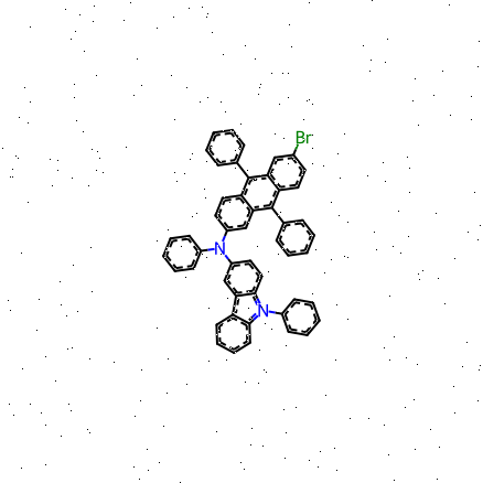 Brc1ccc2c(-c3ccccc3)c3cc(N(c4ccccc4)c4ccc5c(c4)c4ccccc4n5-c4ccccc4)ccc3c(-c3ccccc3)c2c1